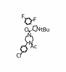 CC(=O)N1CCN(C(=O)[C@@H]2CN(C(C)(C)C)C[C@H]2c2ccc(F)cc2F)CCC1c1ccc(Cl)cc1